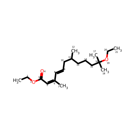 CCOC(=O)C=C(C)C=CCC(C)CCCC(C)(C)OCC